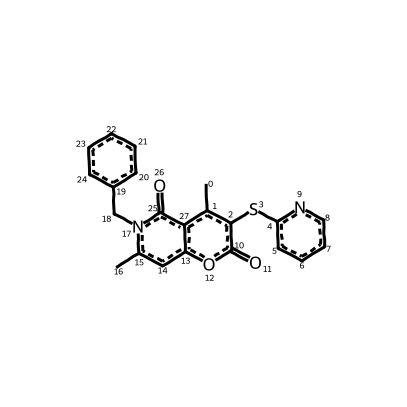 Cc1c(Sc2ccccn2)c(=O)oc2cc(C)n(Cc3ccccc3)c(=O)c12